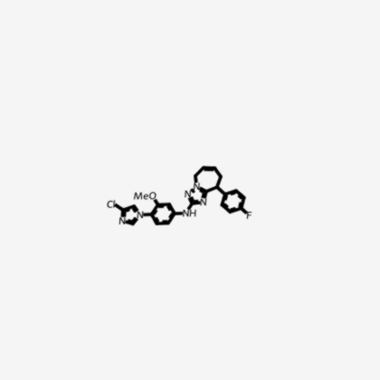 COc1cc(Nc2nc3n(n2)CC=CCC3c2ccc(F)cc2)ccc1-n1cnc(Cl)c1